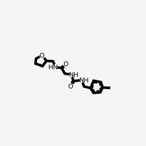 Cc1ccc(CNC(=O)NCC(=O)NCC2CCCO2)cc1